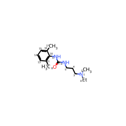 CCN(C)CCCNC(=O)Nc1c(C)cccc1C